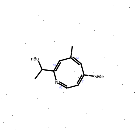 CCCCC(C)C1=C/C(C)=C\C(SC)=C/C=N\1